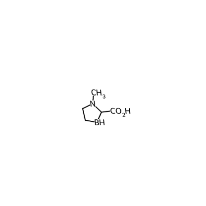 CN1CCBC1C(=O)O